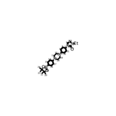 CCn1ncn(-c2ccc(N3CCN(c4ccc(B5OC(C)(C)C(C)(C)O5)cc4)CC3)cc2)c1=O